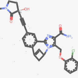 CN1CC[C@@](O)(C#Cc2ccc3c(c2)-c2nc(C(N)=O)c(COc4ccccc4Cl)n2C2C=C3C2)C1=O